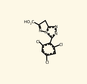 O=C(O)C1=Nn2c(nnc2-c2c(Cl)cc(Cl)cc2Cl)C1